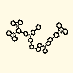 c1ccc(-c2ccc(N(c3ccc(-c4cccc(-c5cccc6c(N(c7ccccc7)c7ccc8cc(-c9ccc(-n%10c%11ccccc%11c%11ccccc%11%10)cc9)ccc8c7)cccc56)c4)cc3)c3ccc(-c4cc(-n5c6ccccc6c6ccccc65)cc(-n5c6ccccc6c6ccccc65)c4)cc3)cc2)cc1